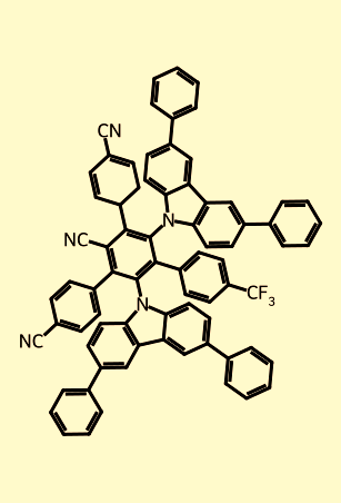 N#CC1=CCC(c2c(C#N)c(-c3ccc(C#N)cc3)c(-n3c4ccc(-c5ccccc5)cc4c4cc(-c5ccccc5)ccc43)c(-c3ccc(C(F)(F)F)cc3)c2-n2c3ccc(-c4ccccc4)cc3c3cc(-c4ccccc4)ccc32)C=C1